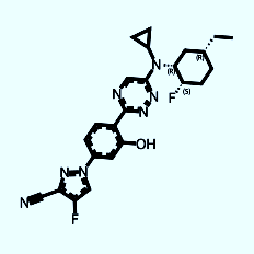 CC[C@@H]1CC[C@H](F)[C@H](N(c2cnc(-c3ccc(-n4cc(F)c(C#N)n4)cc3O)nn2)C2CC2)C1